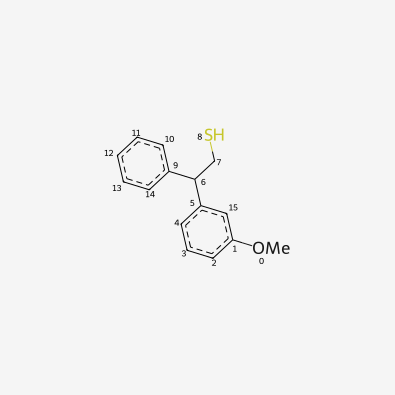 COc1cccc(C(CS)c2ccccc2)c1